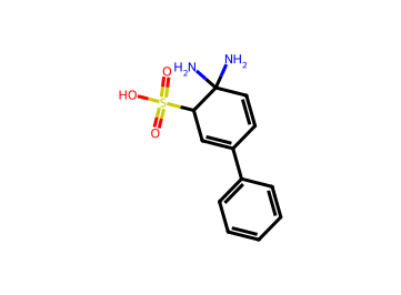 NC1(N)C=CC(c2ccccc2)=CC1S(=O)(=O)O